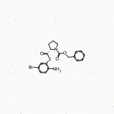 Nc1ccc(Br)cc1SC(=O)[C@@H]1CCCN1C(=O)OCc1ccccc1